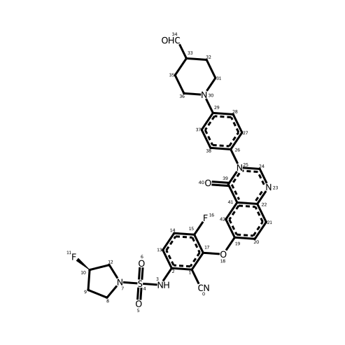 N#Cc1c(NS(=O)(=O)N2CC[C@@H](F)C2)ccc(F)c1Oc1ccc2ncn(-c3ccc(N4CCC(C=O)CC4)cc3)c(=O)c2c1